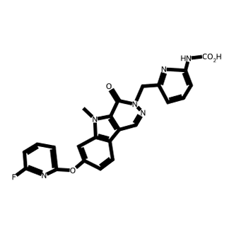 Cn1c2cc(Oc3cccc(F)n3)ccc2c2cnn(Cc3cccc(NC(=O)O)n3)c(=O)c21